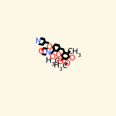 COC1=C(OC)C(=O)C(Cc2ccc(OCc3ccncc3)c(C(=O)N3CCOCC3)c2)=C(C)C1=O